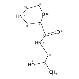 CC(O)CNC(=O)C1CNCCO1